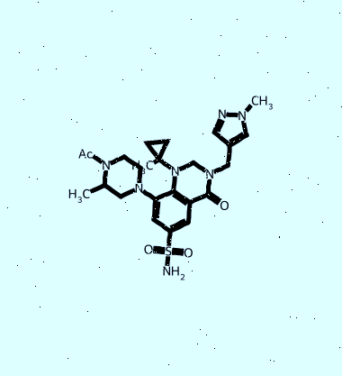 CC(=O)N1CCN(c2cc(S(N)(=O)=O)cc3c2N(C2(C)CC2)CN(Cc2cnn(C)c2)C3=O)CC1C